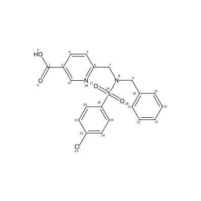 O=C(O)c1ccc(CN(Cc2ccccc2)S(=O)(=O)c2ccc(Cl)cc2)nc1